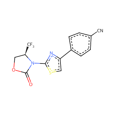 N#Cc1ccc(-c2csc(N3C(=O)OC[C@H]3C(F)(F)F)n2)cc1